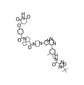 Cc1cc(-c2ncnn3cc(N4CCN(C(=O)C5CCN(C(=O)c6ccc(OC7CCC(=O)NC7=O)cc6)C56CCC6)CC4)cc23)ccc1CNC(=O)c1noc(C(C)(C)C)n1